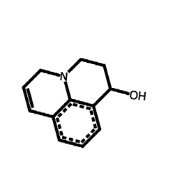 OC1CCN2CC=Cc3cccc1c32